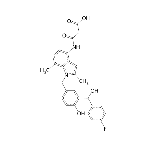 Cc1ccc(NC(=O)CC(=O)O)c2cc(C)n(Cc3ccc(O)c(C(O)c4ccc(F)cc4)c3)c12